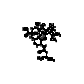 CC(C)CC(=O)Oc1ccc(CC(N)(C[C@H](C)OC(=O)OC(C)C)C(=O)O)cc1OC(=O)CC(C)C